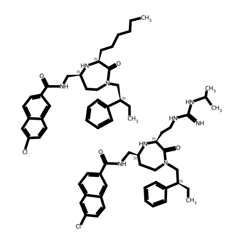 CCCCCC[C@@H]1N[C@H](CNC(=O)c2ccc3cc(Cl)ccc3c2)CCN(C[C@@H](CC)c2ccccc2)C1=O.CC[C@H](CN1CC[C@@H](CNC(=O)c2ccc3cc(Cl)ccc3c2)N[C@@H](CCNC(=N)NC(C)C)C1=O)c1ccccc1